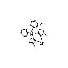 CC1=CC[C]([Hf+2]([C]2=C(C)C(C)=CC2)[SiH](c2ccccc2)c2ccccc2)=C1C.[Cl-].[Cl-]